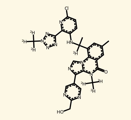 [2H]C(C)(Nc1ccc(Cl)nc1-c1nnn(C([2H])([2H])[2H])n1)c1cc(C)cc2c(=O)n(C([2H])([2H])[2H])c3c(-c4cnc(CO)nc4)ncn3c12